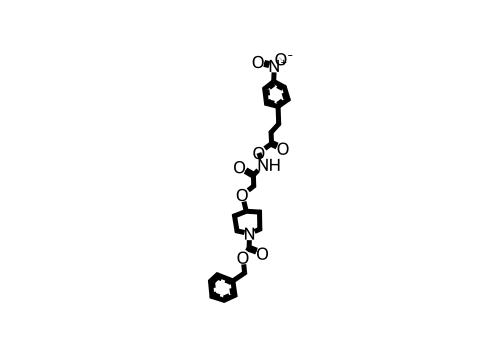 O=C(COC1CCN(C(=O)OCc2ccccc2)CC1)NOC(=O)CCc1ccc([N+](=O)[O-])cc1